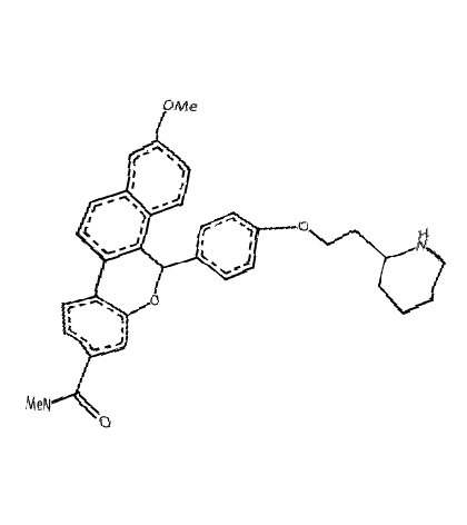 CNC(=O)c1ccc2c(c1)OC(c1ccc(OCCC3CCCCN3)cc1)c1c-2ccc2cc(OC)ccc12